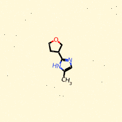 Cc1cnc(C2CCOC2)[nH]1